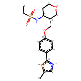 CCS(=O)(=O)N[C@H]1CCOC[C@@H]1COc1ccc(-c2ncc(C)s2)cc1